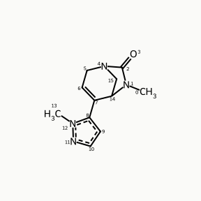 CN1C(=O)N2CC=C(c3ccnn3C)C1C2